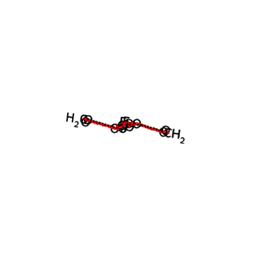 C=CC(=O)OCCCCCCCCCCCCCCCCCCOc1ccc(C(=O)Oc2c(F)c(F)c(OC(=O)c3ccc(OCCCCCCCCCCCCCCCCCCOC(=O)C=C)cc3)c(F)c2F)cc1